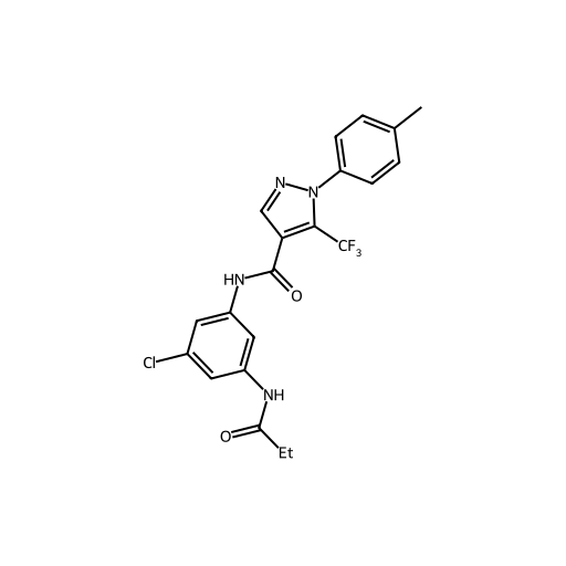 CCC(=O)Nc1cc(Cl)cc(NC(=O)c2cnn(-c3ccc(C)cc3)c2C(F)(F)F)c1